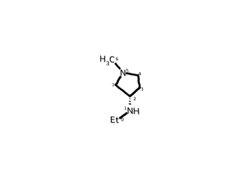 CCN[C@H]1CCN(C)C1